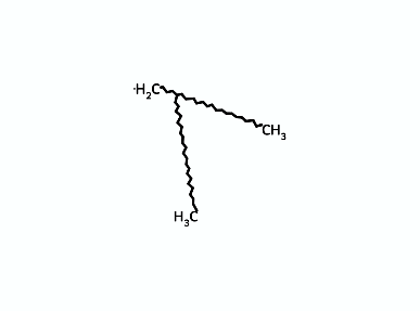 [CH2]CCCC(CCCCCCCCCCCCCCCCCC)CCCCCCCCCCCCCCCCCCCCCCC